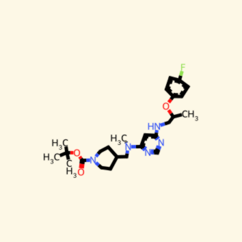 CC(CNc1cc(N(C)CC2CCN(C(=O)OC(C)(C)C)CC2)ncn1)Oc1ccc(F)cc1